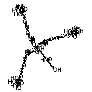 CC(=O)N[C@H]1[C@H]2OC[C@@](COCCOCCOCCOCCn3cc(COCC(COCc4cn(CCOCCOCCOCCOC[C@]56CO[C@@H](O5)[C@H](NC(C)=O)[C@@H](O)[C@H]6O)nn4)(COCc4cn(CCOCCOCCOCCOC[C@]56CO[C@@H](O5)[C@H](NC(C)=O)[C@@H](O)[C@H]6O)nn4)NC(=O)CCCCCNC(=O)CCCCCO)nn3)(O2)[C@H](O)[C@@H]1O